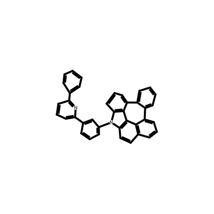 c1ccc(-c2cccc(-c3cccc(-n4c5cccc6c5c5c7c(cccc7ccc54)-c4ccccc4-6)c3)n2)cc1